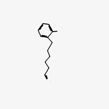 C=CCCCCCc1ccccc1OC